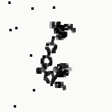 Cc1ccc(C(=O)N2CCC(c3ccc(CNS(=O)(=O)N(C)C)cc3)CC2)cc1NS(C)(=O)=O